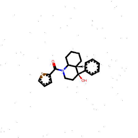 O=C(c1cccs1)N1CC[C@@](O)(c2ccccc2)[C@H]2CCCCC21